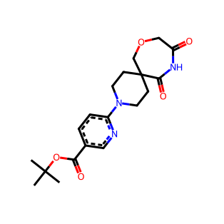 CC(C)(C)OC(=O)c1ccc(N2CCC3(CC2)COCC(=O)NC3=O)nc1